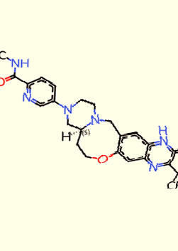 CCc1nc2cc3c(cc2[nH]c1=O)CN1CCN(c2ccc(C(=O)NC)nc2)C[C@@H]1CCO3